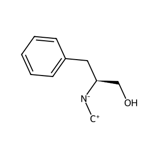 [CH2+][N-][C@H](CO)Cc1ccccc1